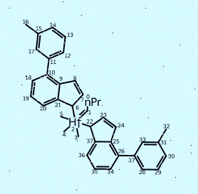 CCC[CH]=[Hf]([CH3])([CH3])([CH3])([CH]1C=Cc2c(-c3cccc(C)c3)cccc21)[CH]1C=Cc2c(-c3cccc(C)c3)cccc21